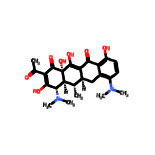 CC(=O)C1=C(O)[C@@H](N(C)C)[C@@H]2[C@@H](C)[C@@H]3Cc4c(N(C)C)ccc(O)c4C(=O)C3=C(O)[C@]2(O)C1=O